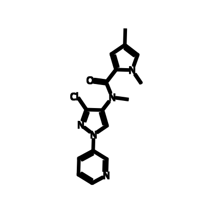 Cc1cc(C(=O)N(C)c2cn(-c3cccnc3)nc2Cl)n(C)c1